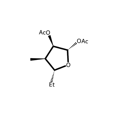 CC[C@H]1O[C@@H](OC(C)=O)[C@H](OC(C)=O)[C@@H]1C